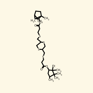 CCC1(C)C(OC(=O)CCSCC2CSC(CSCCC(=O)OC3CC4CCC3(C)C4(C)C)CS2)CC(C)C1(C)C